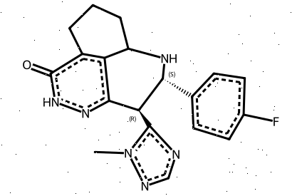 Cn1ncnc1[C@H]1c2n[nH]c(=O)c3c2C(CCC3)N[C@@H]1c1ccc(F)cc1